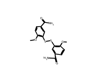 COc1ccc(C(N)=O)cc1SSc1cc(C(N)=O)ccc1OC